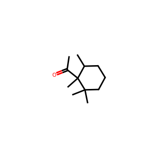 CC(=O)C1(C)C(C)CCCC1(C)C